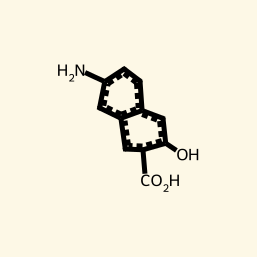 Nc1ccc2cc(O)c(C(=O)O)cc2c1